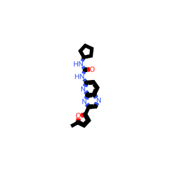 Cc1ccc(-c2cnc3ccc(NC(=O)NC4CCCC4)nc3n2)o1